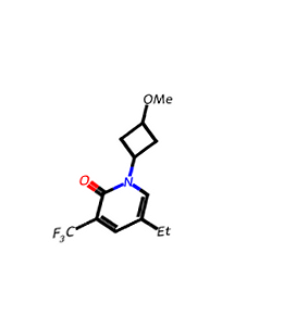 CCc1cc(C(F)(F)F)c(=O)n(C2CC(OC)C2)c1